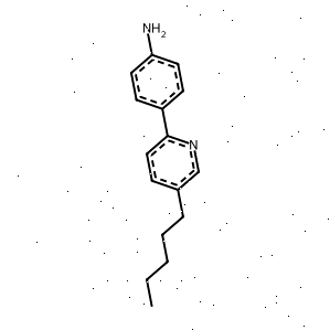 CCCCCc1ccc(-c2ccc(N)cc2)nc1